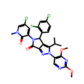 COc1ncc(-n2nc3c(c2C(C)C)C(c2ccc(Cl)cc2F)N(c2cc(Cl)cn(C)c2=O)C3=O)c(OC)n1